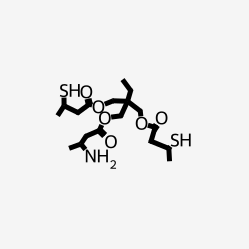 CCC(COC(=O)CC(C)N)(COC(=O)CC(C)S)COC(=O)CC(C)S